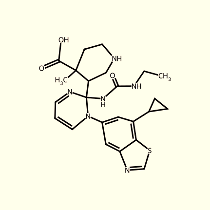 CCNC(=O)NC1(C2CNCCC2(C)C(=O)O)N=CC=CN1c1cc(C2CC2)c2scnc2c1